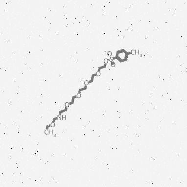 CCOCNCCOCCOCCOCCOCCOS(=O)(=O)c1ccc(C)cc1